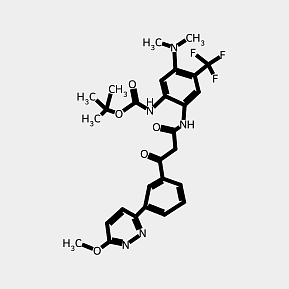 COc1ccc(-c2cccc(C(=O)CC(=O)Nc3cc(C(F)(F)F)c(N(C)C)cc3NC(=O)OC(C)(C)C)c2)nn1